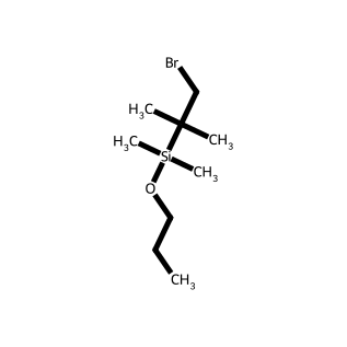 CCCO[Si](C)(C)C(C)(C)CBr